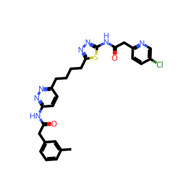 Cc1cccc(CC(=O)Nc2ccc(CCCCc3nnc(NC(=O)Cc4ccc(Cl)cn4)s3)nn2)c1